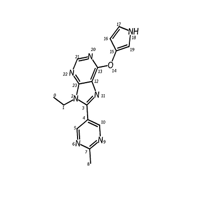 CCn1c(-c2cnc(C)nc2)nc2c(Oc3cc[nH]c3)ncnc21